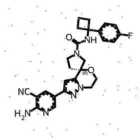 N#Cc1cc(-c2cc3n(n2)CCO[C@@]32CCN(C(=O)NC3(c4ccc(F)cc4)CCC3)C2)cnc1N